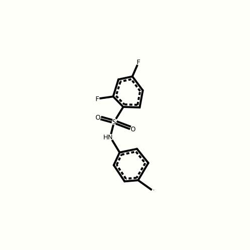 [CH2]c1ccc(NS(=O)(=O)c2ccc(F)cc2F)cc1